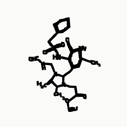 C=C1C(C)N(CC(=O)OC(C)(C)C)C(c2cc(C)[nH]c(=O)c2NS(=O)(=O)Cc2ccccc2)N1CNC=O